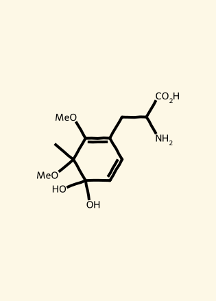 COC1=C(CC(N)C(=O)O)C=CC(O)(O)C1(C)OC